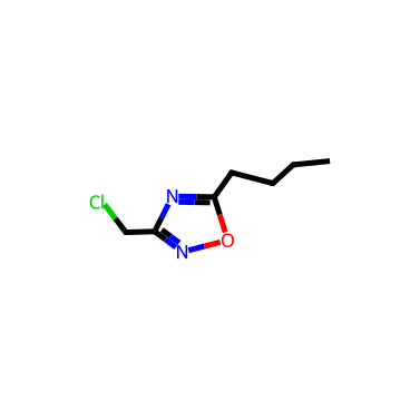 CCCCc1nc(CCl)no1